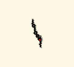 CCCCCCOc1ccc(-c2ccc(C3CCC(CC/C=C/C4CCC(CCCCC)CC4)CC3)cc2)c(F)c1F